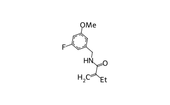 C=C(CC)C(=O)NCc1cc(F)cc(OC)c1